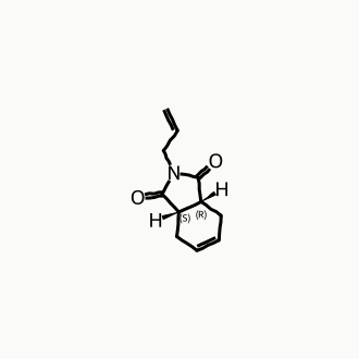 C=CCN1C(=O)[C@H]2CC=CC[C@H]2C1=O